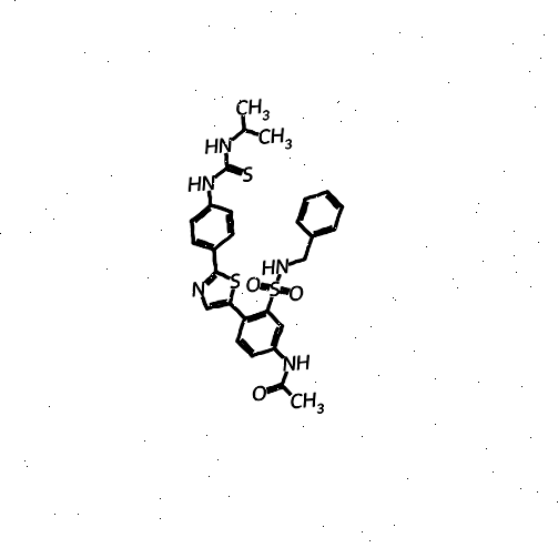 CC(=O)Nc1ccc(-c2cnc(-c3ccc(NC(=S)NC(C)C)cc3)s2)c(S(=O)(=O)NCc2ccccc2)c1